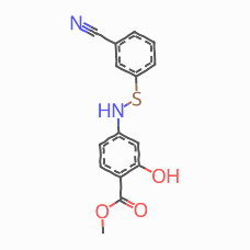 COC(=O)c1ccc(NSc2cccc(C#N)c2)cc1O